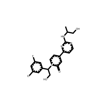 CC(CO)Nc1nccc(-c2ccn(C(CO)c3cc(F)cc(Cl)c3)c(=O)c2)n1